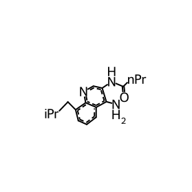 CCCC(=O)Nc1cnc2c(CC(C)C)cccc2c1N